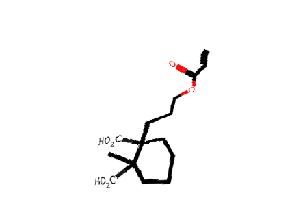 C=CC(=O)OCCCC1(C(=O)O)CCCCC1(C)C(=O)O